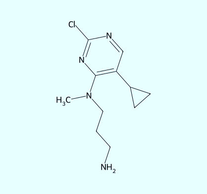 CN(CCCN)c1nc(Cl)ncc1C1CC1